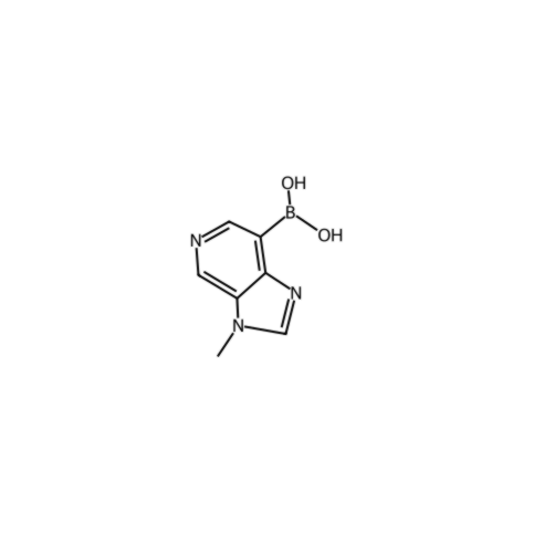 Cn1cnc2c(B(O)O)cncc21